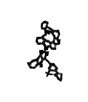 CC1(C)c2ccccc2-c2ccc(-c3nc(-n4c5ccc6sc7ccc8c9ccccc9n9c%10cccc4c%10c5c6c7c89)nc4c3sc3ccccc34)cc21